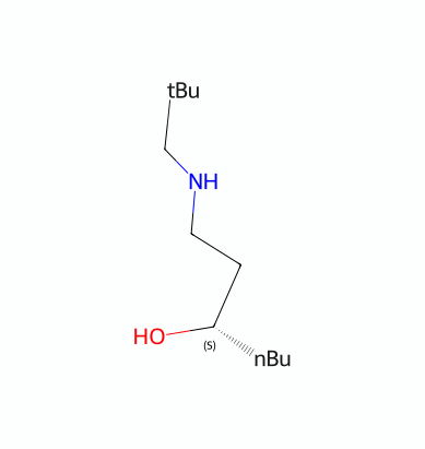 CCCC[C@H](O)CCNCC(C)(C)C